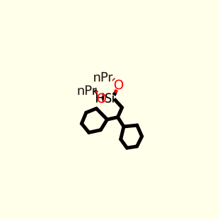 CCCO[SiH](CC(C1CCCCC1)C1CCCCC1)OCCC